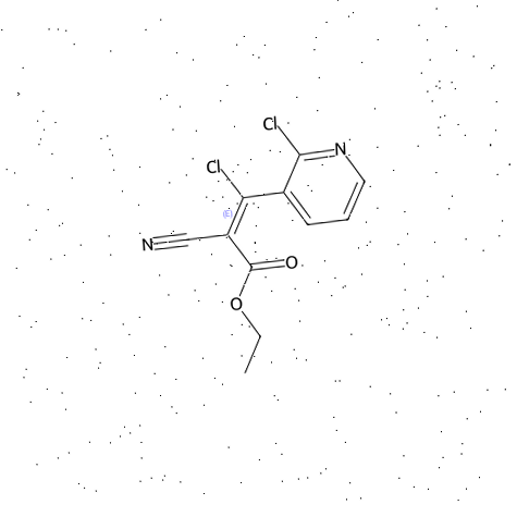 CCOC(=O)/C(C#N)=C(/Cl)c1cccnc1Cl